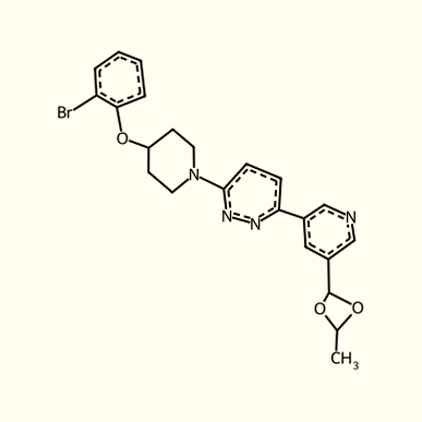 CC1OC(c2cncc(-c3ccc(N4CCC(Oc5ccccc5Br)CC4)nn3)c2)O1